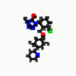 Cc1cc(-c2ccccn2)c(C)cc1OCc1c(Cl)cccc1-n1nnn(C)c1=O